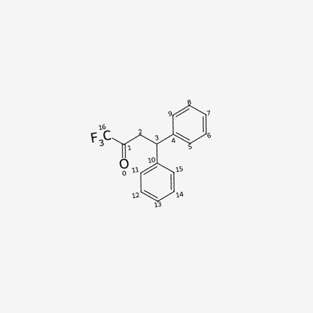 O=C(CC(c1ccccc1)c1ccccc1)C(F)(F)F